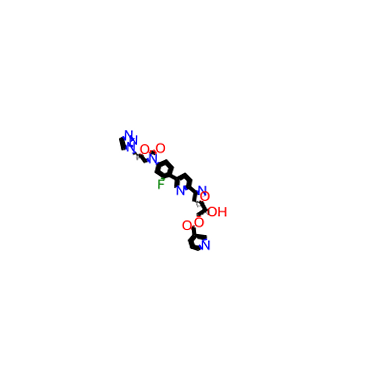 O=C(OC[C@@H](O)[C@@H]1CC(c2ccc(-c3ccc(N4C[C@H](Cn5ccnn5)OC4=O)cc3F)cn2)=NO1)c1cccnc1